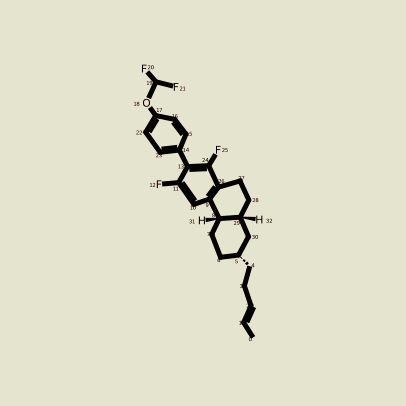 C/C=C/CC[C@@H]1CC[C@@H]2c3cc(F)c(-c4ccc(OC(F)F)cc4)c(F)c3CC[C@@H]2C1